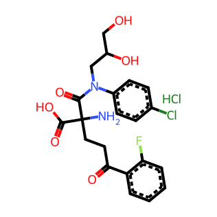 Cl.NC(CCC(=O)c1ccccc1F)(C(=O)O)C(=O)N(CC(O)CO)c1ccc(Cl)cc1